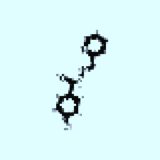 O=C(N/N=C/c1ccccn1)c1ccc(O)cc1